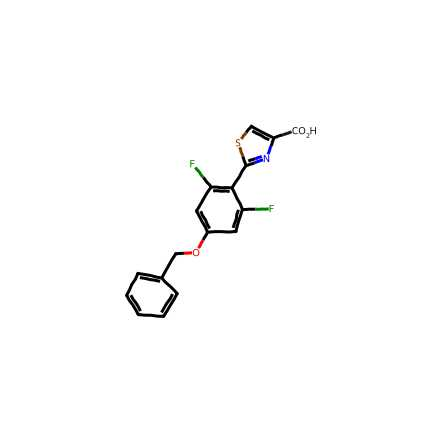 O=C(O)c1csc(-c2c(F)cc(OCc3ccccc3)cc2F)n1